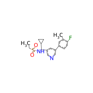 CCS(=O)(=O)NC(c1cncc(-c2ccc(F)c(C)c2)c1)C1CC1